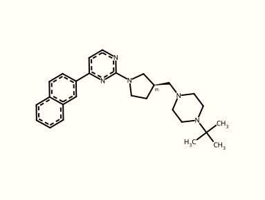 CC(C)(C)N1CCN(C[C@H]2CCN(c3nccc(-c4ccc5ccccc5c4)n3)C2)CC1